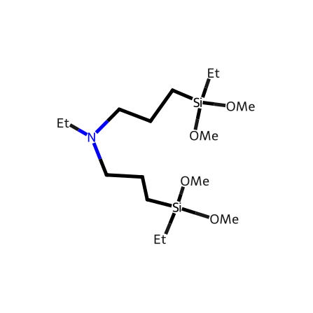 CCN(CCC[Si](CC)(OC)OC)CCC[Si](CC)(OC)OC